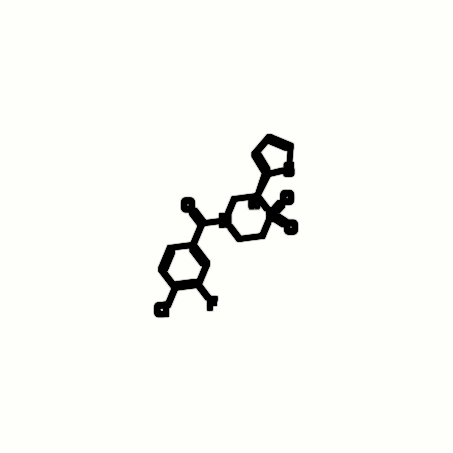 O=C(c1ccc(Cl)c(F)c1)N1CCS(=O)(=O)[C@H](c2cccs2)C1